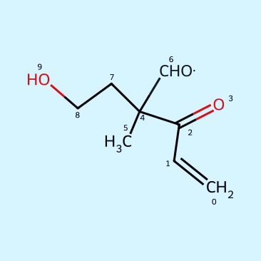 C=CC(=O)C(C)([C]=O)CCO